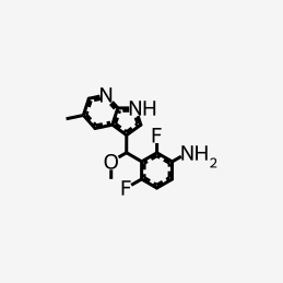 COC(c1c(F)ccc(N)c1F)c1c[nH]c2ncc(C)cc12